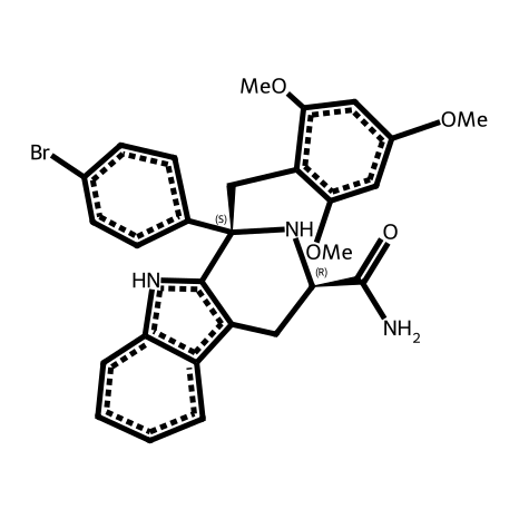 COc1cc(OC)c(C[C@@]2(c3ccc(Br)cc3)N[C@@H](C(N)=O)Cc3c2[nH]c2ccccc32)c(OC)c1